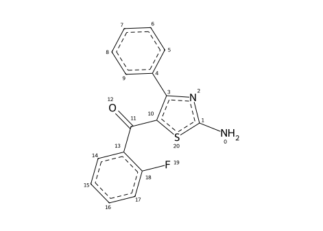 Nc1nc(-c2ccccc2)c(C(=O)c2ccccc2F)s1